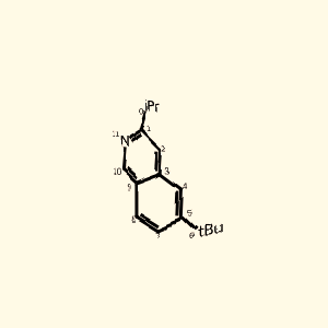 CC(C)c1cc2cc(C(C)(C)C)ccc2cn1